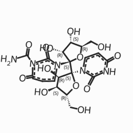 NC(=O)n1c(=O)ccn([C@]2([C@@]3(n4ccc(=O)[nH]c4=O)O[C@H](CO)[C@@H](O)[C@H]3O)O[C@H](CO)[C@@H](O)[C@H]2O)c1=O